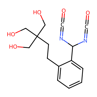 O=C=NC(N=C=O)c1ccccc1CCC(CO)(CO)CO